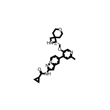 Cc1cc(-c2ccn3nc(NC(=O)C4CC4)cc3c2)c(OC[C@@H]2NCC23CCOCC3)cn1